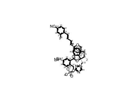 C[C@@H](S[C@H]1CO[C@H](/C=C/C=C/c2ccc(C#N)cc2F)OC1)[C@@](Cn1cncn1)(OC(=O)c1ccccc1COP(=O)([O-])[O-])c1ccc(F)cc1F.[Na+].[Na+]